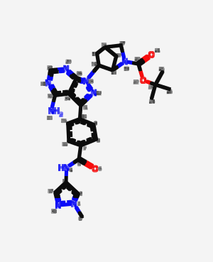 Cn1cc(NC(=O)c2ccc(-c3nn(C4CC5CC4N(C(=O)OC(C)(C)C)C5)c4ncnc(N)c34)cc2)cn1